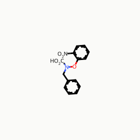 O=C(O)N(Cc1ccccc1)Oc1ccccc1[N+](=O)[O-]